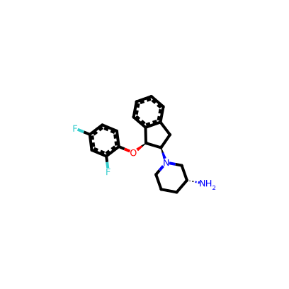 N[C@@H]1CCCN([C@@H]2Cc3ccccc3[C@@H]2Oc2ccc(F)cc2F)C1